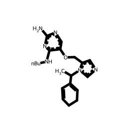 CCCCNc1nc(N)ncc1OCc1cncn1C(C)C1=CCCC=C1